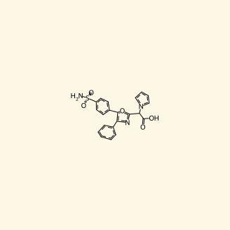 NS(=O)(=O)c1ccc(-c2oc(C(C(=O)O)n3cccc3)nc2-c2ccccc2)cc1